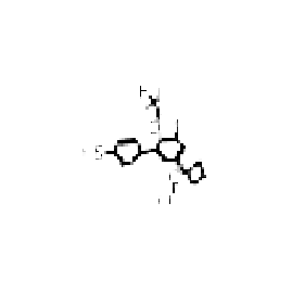 CSc1ccc(-c2cc(C3(OC=O)CCC3)cc(Cl)c2OCC(F)(F)F)cc1